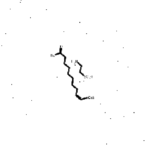 CCCCCCCC/C=C\CCCCCCC[C](=O)[Na].NCCS(=O)(=O)O